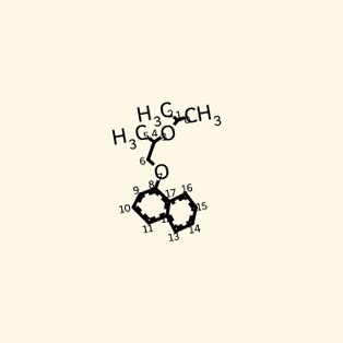 CC(C)OC(C)COc1cccc2ccccc12